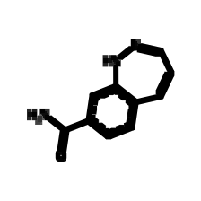 NC(=O)c1ccc2c(c1)NN=CC=C2